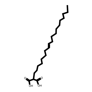 CCCCCCCCCCC=CCCCCCCCC(C(=O)O)C(=O)O